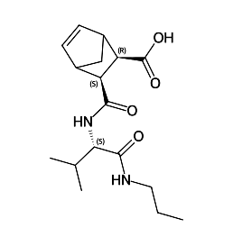 CCCNC(=O)[C@@H](NC(=O)[C@H]1C2C=CC(C2)[C@H]1C(=O)O)C(C)C